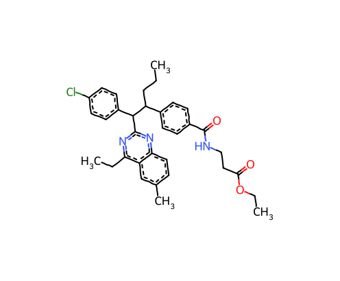 CCCC(c1ccc(C(=O)NCCC(=O)OCC)cc1)C(c1ccc(Cl)cc1)c1nc(CC)c2cc(C)ccc2n1